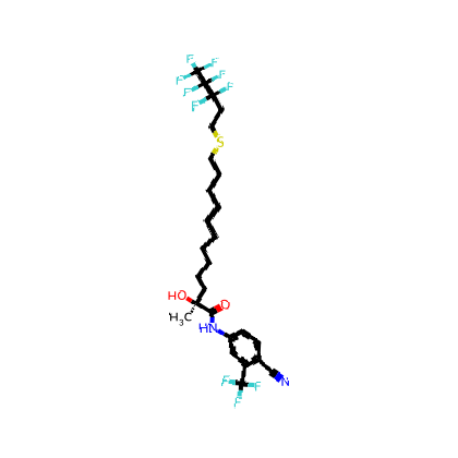 C[C@](O)(CCCCCCCCCCSCCC(F)(F)C(F)(F)C(F)(F)F)C(=O)Nc1ccc(C#N)c(C(F)(F)F)c1